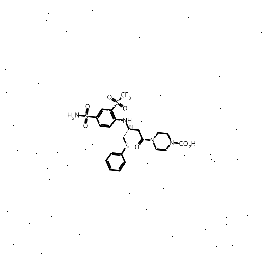 NS(=O)(=O)c1ccc(N[C@@H](CSc2ccccc2)CC(=O)N2CCN(C(=O)O)CC2)c(S(=O)(=O)C(F)(F)F)c1